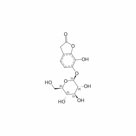 O=C1Cc2ccc(O[C@@H]3O[C@H](CO)[C@@H](O)[C@H](O)[C@H]3O)c(O)c2O1